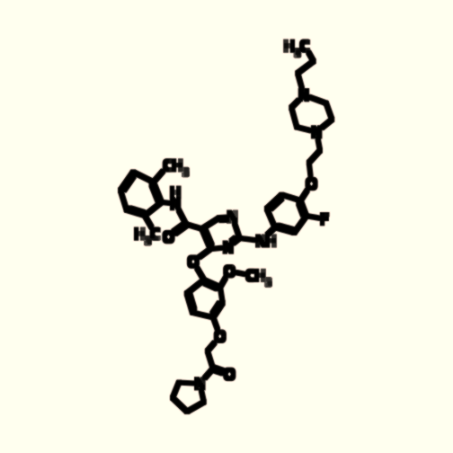 CCCN1CCN(CCOc2ccc(Nc3ncc(C(=O)Nc4c(C)cccc4C)c(Oc4ccc(OCC(=O)N5CCCC5)cc4OC)n3)cc2F)CC1